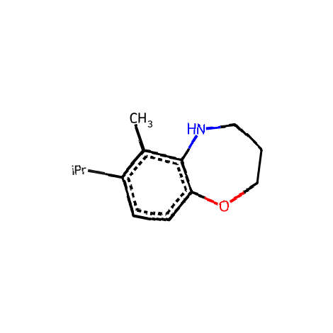 Cc1c(C(C)C)ccc2c1NCCCO2